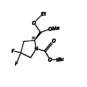 CCOC(OC)[C@@H]1CC(F)(F)CN1C(=O)OC(C)(C)C